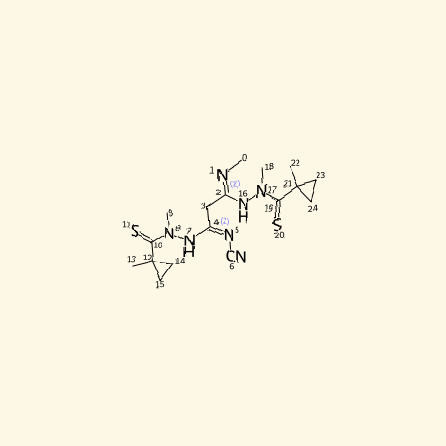 C/N=C(/C/C(=N/C#N)NN(C)C(=S)C1(C)CC1)NN(C)C(=S)C1(C)CC1